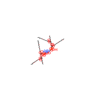 CCCCCCCCCCCCCC(=O)O[C@@H](COCC[C@@H](CCCCCCC)OC(=O)CCCCCCCCCCC)COP(=O)(O)OCCNC(=O)NCCOP(=O)(O)OC[C@H](COCC[C@@H](CCCCCCC)OC(=O)CCCCCCCCCCC)OC(=O)CCCCCCCCCCCCC